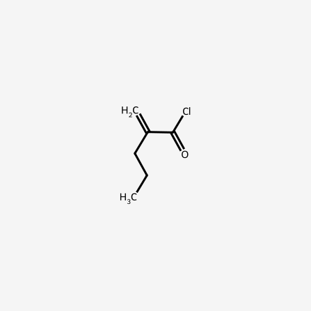 C=C(CCC)C(=O)Cl